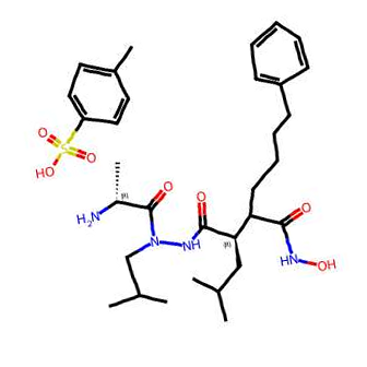 CC(C)C[C@@H](C(=O)NN(CC(C)C)C(=O)[C@@H](C)N)C(CCCCc1ccccc1)C(=O)NO.Cc1ccc(S(=O)(=O)O)cc1